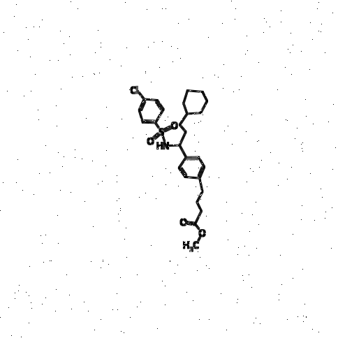 COC(=O)CCCc1ccc(C(CCC2CCCCC2)NS(=O)(=O)c2ccc(Cl)cc2)cc1